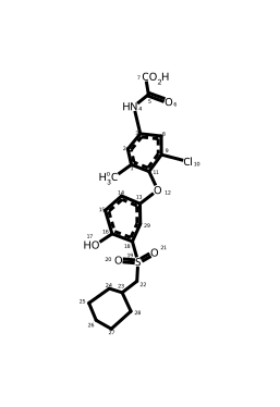 Cc1cc(NC(=O)C(=O)O)cc(Cl)c1Oc1ccc(O)c(S(=O)(=O)CC2CCCCC2)c1